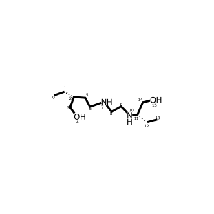 CC[C@@H](CO)CCNCCN[C@@H](CC)CO